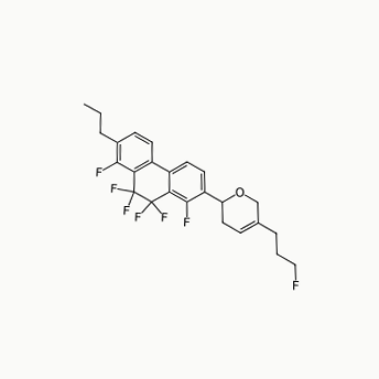 CCCc1ccc2c(c1F)C(F)(F)C(F)(F)c1c-2ccc(C2CC=C(CCCF)CO2)c1F